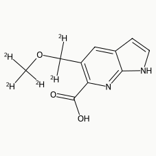 [2H]C([2H])([2H])OC([2H])([2H])c1cc2cc[nH]c2nc1C(=O)O